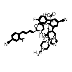 CCC(Cn1cncn1)C1=CC(C#N)=C[C@](C(=O)O)(c2ccc(F)cc2F)[C@]1(COC(=O)CN1CCN(C)CC1)S[C@H]1CO[C@H](C=CC=Cc2ccc(C#N)cc2F)OC1